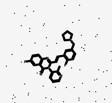 Cc1ncccc1-n1c(C=Cc2cc(CN3CCCC3)ccc2F)nc2ccc(F)cc2c1=O